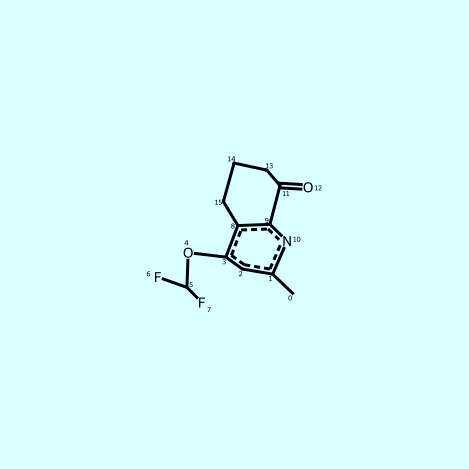 Cc1cc(OC(F)F)c2c(n1)C(=O)CCC2